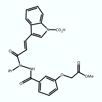 COC(=O)COc1cccc(C(=O)NN(C(=O)C=Cc2cn(C(=O)O)c3ccccc23)C(C)C)c1